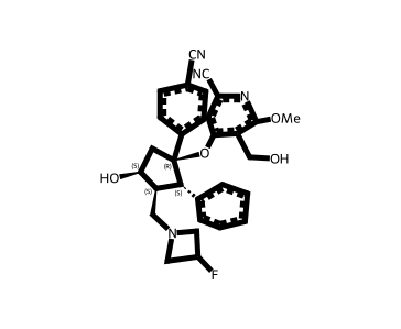 COc1nc(C#N)cc(O[C@]2(c3ccc(C#N)cc3)C[C@H](O)[C@H](CN3CC(F)C3)[C@H]2c2ccccc2)c1CO